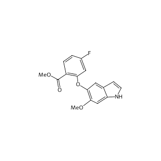 COC(=O)c1ccc(F)cc1Oc1cc2cc[nH]c2cc1OC